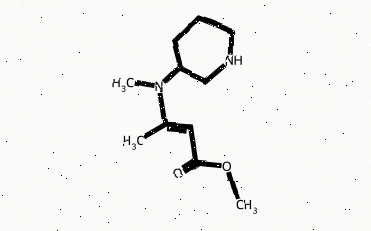 COC(=O)C=C(C)N(C)C1CCCNC1